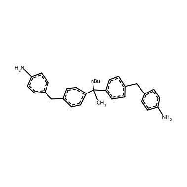 CCCCC(C)(c1ccc(Cc2ccc(N)cc2)cc1)c1ccc(Cc2ccc(N)cc2)cc1